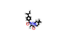 C=C(CC)c1ccc(C(=O)NC(C)C(=O)N2CCC3(CC2)CC3)cc1